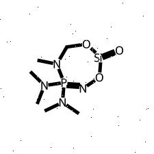 CN(C)P1(N(C)C)=NO[Si](=O)OCN1C